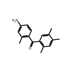 Cc1cc(C)c(C(=O)c2ccc(N)cc2C)cc1C